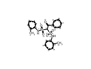 Cc1ccccc1NS(=O)(=O)C(C(=O)c1ccccc1)S(=O)(=O)Nc1ccccc1C